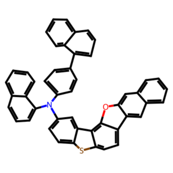 c1ccc2cc3c(cc2c1)oc1c3ccc2sc3ccc(N(c4ccc(-c5cccc6ccccc56)cc4)c4cccc5ccccc45)cc3c21